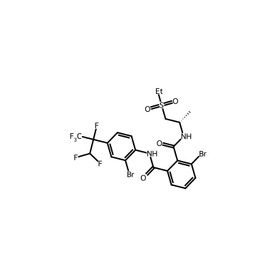 CCS(=O)(=O)C[C@H](C)NC(=O)c1c(Br)cccc1C(=O)Nc1ccc(C(F)(C(F)F)C(F)(F)F)cc1Br